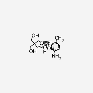 CCO.CCO.Cc1ccc(N)cc1.OCC(CO)(CO)CO